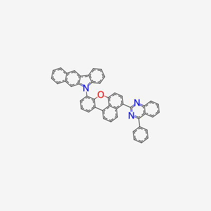 c1ccc(-c2nc(-c3ccc4c5c(cccc35)-c3cccc(-n5c6ccccc6c6cc7ccccc7cc65)c3O4)nc3ccccc23)cc1